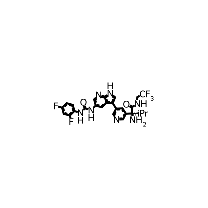 CC(C)[C@](N)(C(=O)NCC(F)(F)F)c1cncc(-c2c[nH]c3ncc(NC(=O)Nc4ccc(F)cc4F)cc23)c1